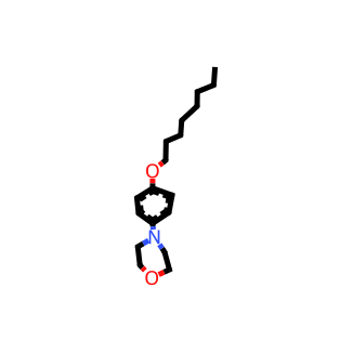 CCCCCCCCOc1ccc(N2CCOCC2)cc1